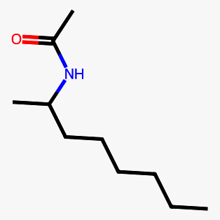 CCCCCCC(C)NC(C)=O